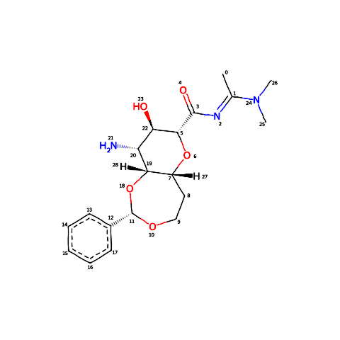 C/C(=N\C(=O)[C@@H]1O[C@@H]2CCO[C@H](c3ccccc3)O[C@@H]2[C@H](N)[C@H]1O)N(C)C